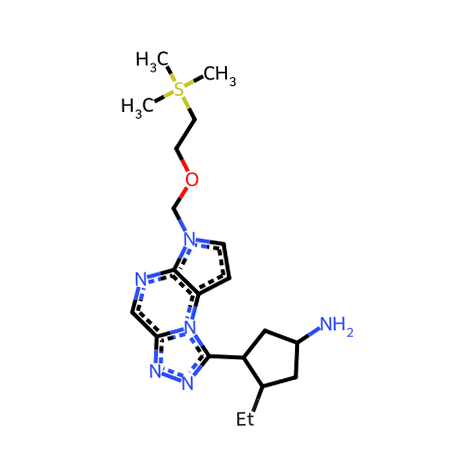 CCC1CC(N)CC1c1nnc2cnc3c(ccn3COCCS(C)(C)C)n12